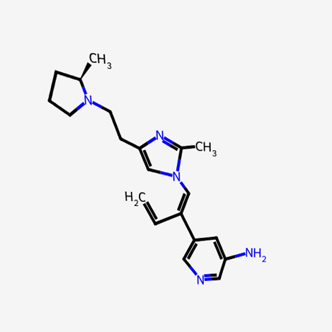 C=C/C(=C\n1cc(CCN2CCC[C@H]2C)nc1C)c1cncc(N)c1